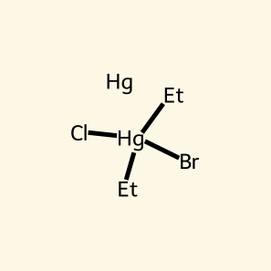 C[CH2][Hg]([Cl])([Br])[CH2]C.[Hg]